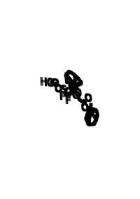 CC1(OC(=O)COC(=O)C23CC4CC(C2)C(C)(OC(=O)C(F)(F)SOOO)C(C4)C3)C2CC3CC(C2)CC1C3